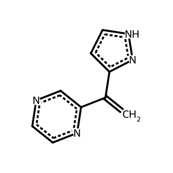 C=C(c1cnccn1)c1cc[nH]n1